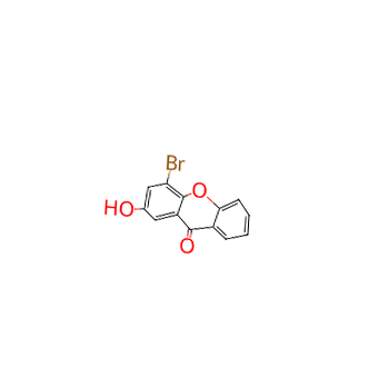 O=c1c2ccccc2oc2c(Br)cc(O)cc12